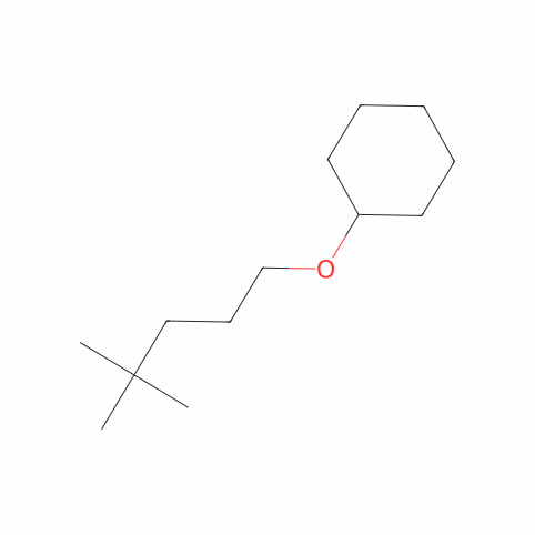 CC(C)(C)CCCOC1CCCCC1